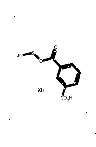 CCCSOC(=O)c1cccc(C(=O)O)c1.[KH]